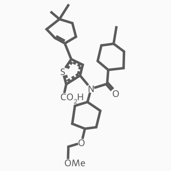 COCOC1CCC(N(C(=O)C2CCC(C)CC2)c2cc(C3=CCC(C)(C)CC3)sc2C(=O)O)CC1